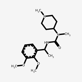 COc1cccc(C(C)NC(=O)N(C)C2CCN(C)CC2)c1OC